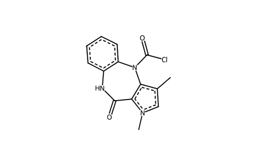 Cc1cn(C)c2c1N(C(=O)Cl)c1ccccc1NC2=O